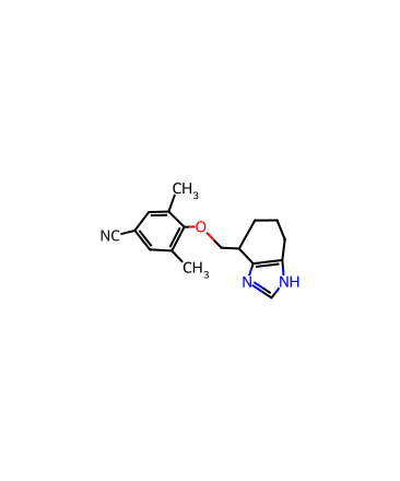 Cc1cc(C#N)cc(C)c1OCC1CCCc2[nH]cnc21